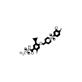 CS(=O)(=O)NC(=O)c1cc(C2CC2)c(OCC2CCN(S(=O)(=O)c3ccc(F)c(Cl)c3)CC2)cc1F